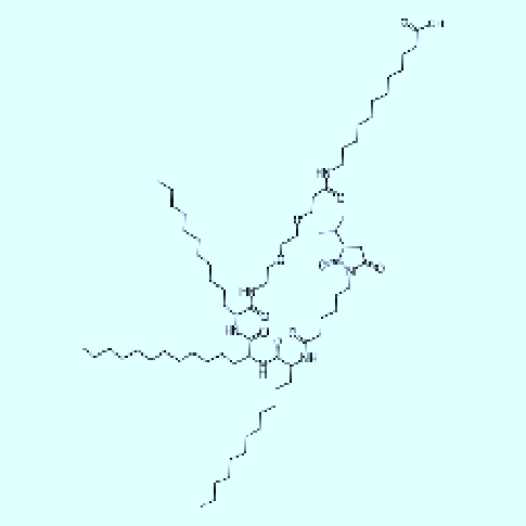 CCCCCCCCCCCCC(NC(=O)CCCCCN1C(=O)CC(C(C)C)C1=O)C(=O)NC(CCCCCCCCCCCC)C(=O)NC(CCCCCCCCCCCC)C(=O)NCCOCCOCCC(=O)NCCCCCCCCCCCC(=O)O